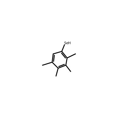 Cc1cc([SeH])c(C)c(C)c1C